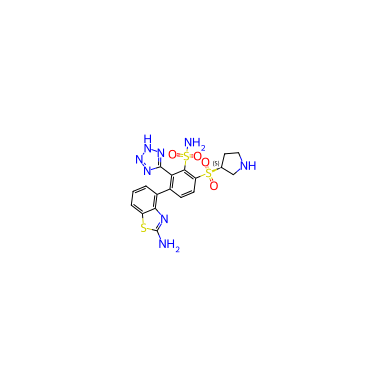 Nc1nc2c(-c3ccc(S(=O)(=O)[C@H]4CCNC4)c(S(N)(=O)=O)c3-c3nn[nH]n3)cccc2s1